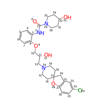 O=C(Nc1ccccc1OC[C@H](O)CN1CCC2(CC1)Cc1cc(Cl)ccc1O2)N1CCC(O)CC1